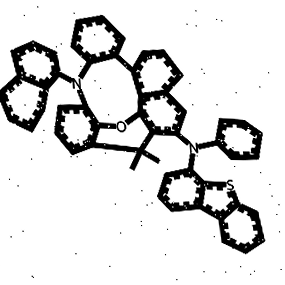 CC1(C)c2cccc3c2Oc2c1c(N(c1ccccc1)c1cccc4c1sc1ccccc14)cc1cccc(c21)-c1ccccc1N3c1cccc2ccccc12